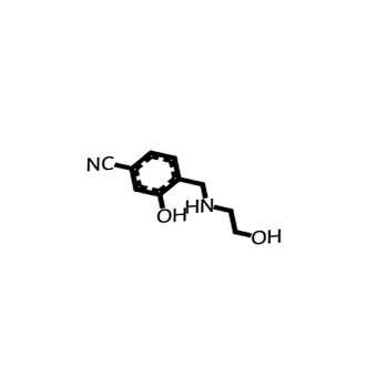 N#Cc1ccc(CNCCO)c(O)c1